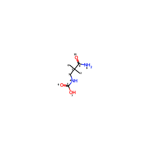 CC(C)(CNC(=O)O)C(N)=O